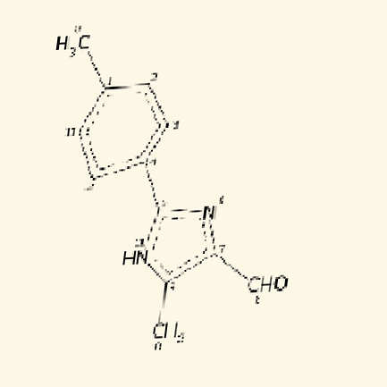 Cc1ccc(-c2nc(C=O)c(C)[nH]2)cc1